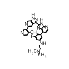 Cc1ccncc1-c1cc2c(-c3nc4c(-c5cc(F)cc(NCCN(C)C)c5)ccnc4[nH]3)n[nH]c2cn1